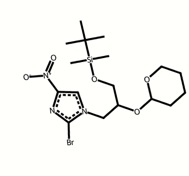 CC(C)(C)[Si](C)(C)OCC(Cn1cc([N+](=O)[O-])nc1Br)OC1CCCCO1